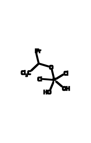 CC(C)C(OP(O)(O)(Cl)Cl)C(Cl)(Cl)Cl